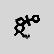 C[C@H]1Cn2ncc(S(=O)(=O)N3CCCC3)c2CN1C(=O)O